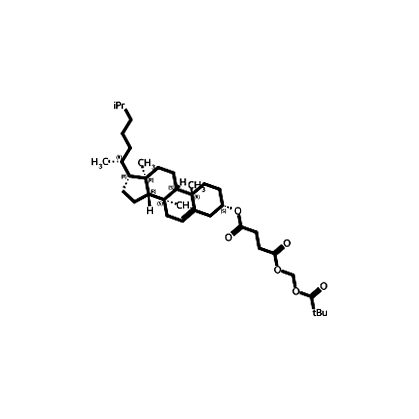 CC(C)CCC[C@@H](C)[C@H]1CC[C@@H]2[C@]1(C)CC[C@H]1[C@@]2(C)CC=C2C[C@@H](OC(=O)CCC(=O)OCOC(=O)C(C)(C)C)CC[C@@]21C